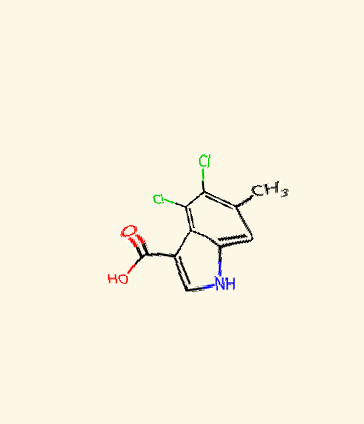 Cc1cc2[nH]cc(C(=O)O)c2c(Cl)c1Cl